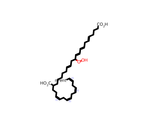 CCCCC/C=C\C/C=C\C/C=C\C/C=C\CCC(CCCCCC=CCC(C=CC=CCC=CCCCC(=O)O)OO)C(=O)O